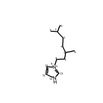 CC(C)CCC(C)CC[n+]1cc[nH]c1